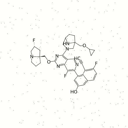 C#Cc1c(F)ccc2cc(O)cc(-c3ncc4c(N5CC6CCC(COC7CC7)(C5)N6)nc(OC[C@@]56CCCN5C[C@H](F)C6)nc4c3F)c12